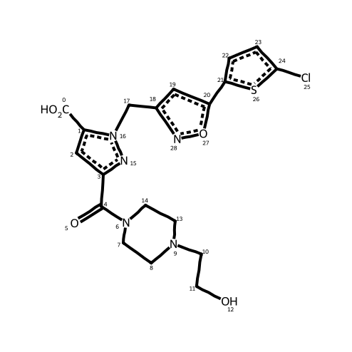 O=C(O)c1cc(C(=O)N2CCN(CCO)CC2)nn1Cc1cc(-c2ccc(Cl)s2)on1